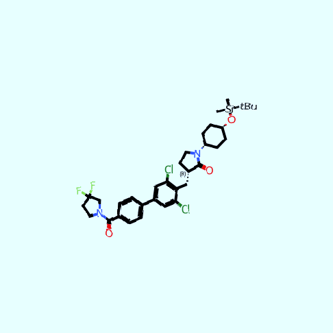 CC(C)(C)[Si](C)(C)O[C@H]1CC[C@@H](N2CC[C@@H](Cc3c(Cl)cc(-c4ccc(C(=O)N5CCC(F)(F)C5)cc4)cc3Cl)C2=O)CC1